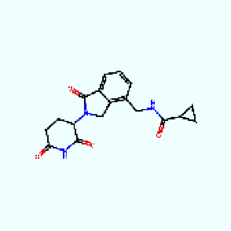 O=C1CCC(N2Cc3c(CNC(=O)C4CC4)cccc3C2=O)C(=O)N1